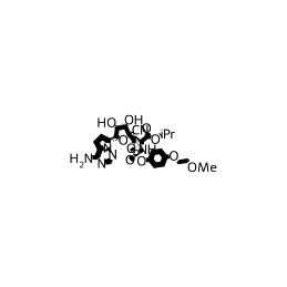 COCCOc1ccc(OP(=O)(N[C@@H](C)C(=O)OC(C)C)OC[C@@]2(C#N)O[C@@H](c3ccc4c(N)ncnn34)[C@H](O)[C@@H]2O)cc1